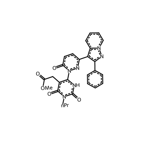 CCCn1c(=O)[nH]c(-n2nc(-c3c(-c4ccccc4)nn4ccccc34)ccc2=O)c(CC(=O)OC)c1=O